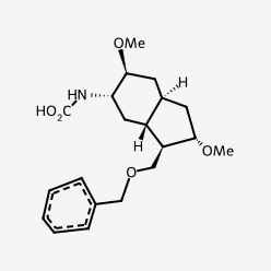 CO[C@H]1C[C@@H]2C[C@H](OC)[C@@H](NC(=O)O)C[C@H]2[C@@H]1COCc1ccccc1